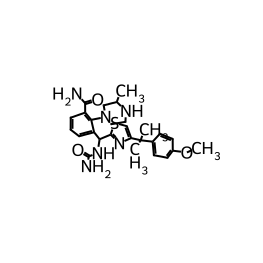 COc1ccc(C(C)(C)c2csc(C(NC(N)=O)c3cccc(C(N)=O)c3N3CCNC(C)C3)n2)cc1